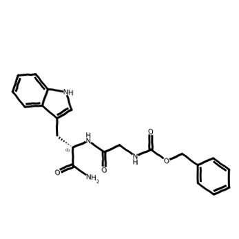 NC(=O)[C@H](Cc1c[nH]c2ccccc12)NC(=O)CNC(=O)OCc1ccccc1